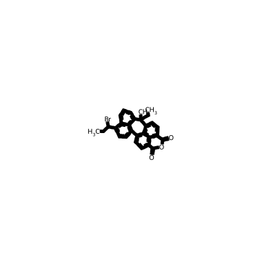 CCC(Br)c1ccc2c3c(cccc13)C(C)(CC)c1ccc3c4c(ccc-2c14)C(=O)OC3=O